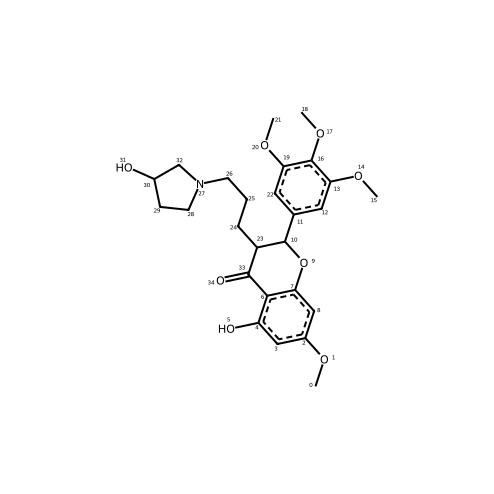 COc1cc(O)c2c(c1)OC(c1cc(OC)c(OC)c(OC)c1)C(CCCN1CCC(O)C1)C2=O